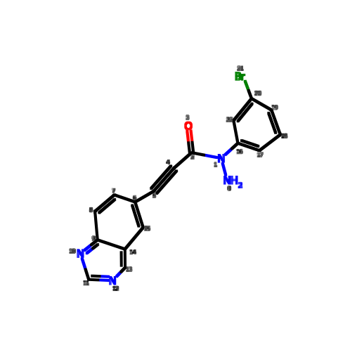 NN(C(=O)C#Cc1ccc2ncncc2c1)c1cccc(Br)c1